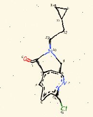 O=C1c2ccc(Cl)nc2CN1CCC1CC1